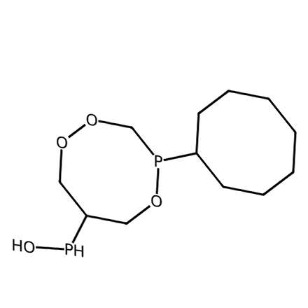 OPC1COOCP(C2CCCCCCC2)OC1